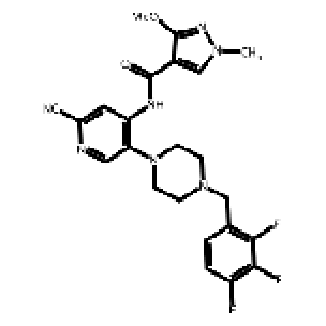 COc1nn(C)cc1C(=O)Nc1cc(C#N)ncc1N1CCN(Cc2ccc(F)c(F)c2F)CC1